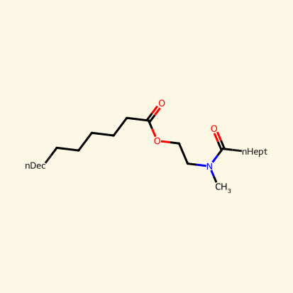 CCCCCCCCCCCCCCCC(=O)OCCN(C)C(=O)CCCCCCC